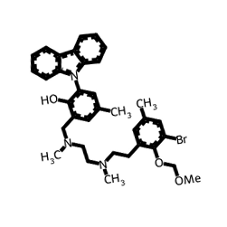 COCOc1c(Br)cc(C)cc1CCN(C)CCN(C)Cc1cc(C)cc(-n2c3ccccc3c3ccccc32)c1O